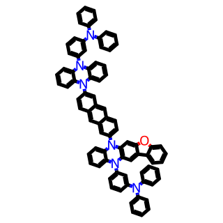 c1ccc(N(c2ccccc2)c2cccc(N3c4ccccc4N(c4ccc5cc6cc(N7c8ccccc8N(c8cccc(N(c9ccccc9)c9ccccc9)c8)c8cc9c(cc87)oc7ccccc79)ccc6cc5c4)c4ccccc43)c2)cc1